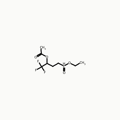 CCO[PH](=O)CCC(OC(C)=O)C(F)(F)F